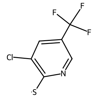 FC(F)(F)c1cnc([S])c(Cl)c1